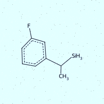 CC([SiH3])c1cccc(F)c1